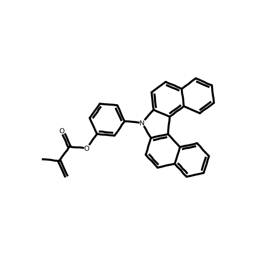 C=C(C)C(=O)Oc1cccc(-n2c3ccc4ccccc4c3c3c4ccccc4ccc32)c1